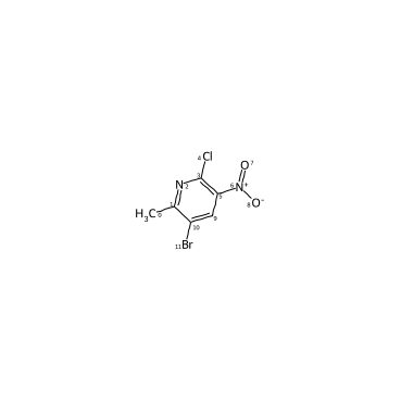 Cc1nc(Cl)c([N+](=O)[O-])cc1Br